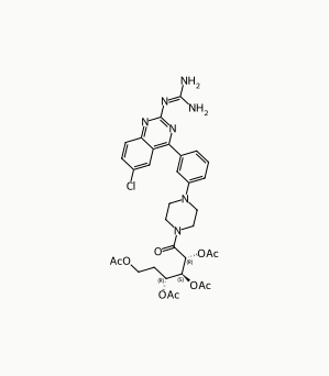 CC(=O)OCC[C@@H](OC(C)=O)[C@H](OC(C)=O)[C@@H](OC(C)=O)C(=O)N1CCN(c2cccc(-c3nc(N=C(N)N)nc4ccc(Cl)cc34)c2)CC1